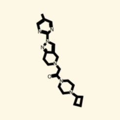 Cc1cnc(-n2cc3c(n2)CCN(CC(=O)N2CCN(C4CCC4)CC2)C3)nc1